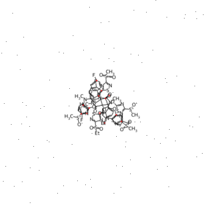 CCN(C(=O)C(Oc1nc(S(C)(=O)=O)ns1)C(Oc1nc([S+](C)[O-])ns1)(C(=O)N(CC)c1ccc(F)cc1)C(Oc1nc(S(=O)(=O)CC)ns1)(C(=O)N(C)c1ccc(F)cc1)C(Oc1nc(S(C)(=O)=O)ns1)(C(=O)N(C)c1ccc(F)cc1)C(Oc1nc([S+](C)[O-])ns1)C(=O)N(C)c1ccc(F)cc1)c1ccc(F)cc1